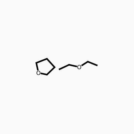 C1CCOC1.CCOCC